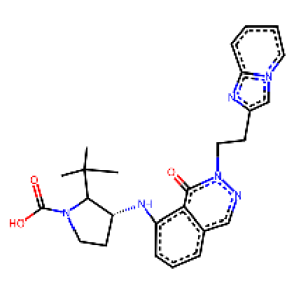 CC(C)(C)C1[C@H](Nc2cccc3cnn(CCc4cn5ccccc5n4)c(=O)c23)CCN1C(=O)O